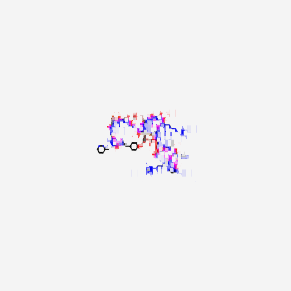 CC[C@H](C)[C@H](NC(=O)[C@H](CCCNC(=N)N)N1C(=O)[C@@H](N)CC1C)C(=O)N[C@H](C(=O)NC(CCC(N)=O)C(=O)N[C@@H](CS)C(=O)NC(CCCNC(=N)N)C(=O)N[C@@H](CO)C(=O)N[C@H](C(=O)N[C@@H](CCC(=O)O)C(=O)NCC(=O)N[C@@H](CO)C(=O)N[C@@H](CS)C(=O)NCC(=O)N[C@@H](Cc1ccccc1)C(=O)N[C@@H](Cc1ccc(O)cc1)C(=O)O)C(C)C)C(C)C